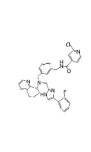 O=C(NCc1cccc(CN(Cc2nc(-c3ccccc3F)c[nH]2)C2CCCc3cccnc32)c1)c1ccnc(Cl)c1